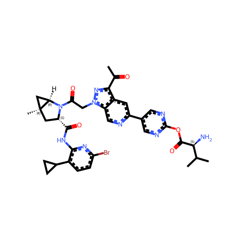 CC(=O)c1nn(CC(=O)N2[C@H](C(=O)Nc3nc(Br)ccc3C3CC3)C[C@@]3(C)C[C@@H]23)c2cnc(-c3cnc(OC(=O)[C@@H](N)C(C)C)nc3)cc12